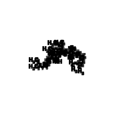 CCCCC(CC)Cc1ccc(-c2ccc(-c3c4c(c(-c5cc6c(s5)-c5sc(-c7c8c(c(-c9ccc(-c%10ccc(CC(CC)CCCC)s%10)s9)c9n[nH]nc79)N=S=N8)cc5[Si]6(CC(CC)CCCC)CC(CC)CCCC)c5n[nH]nc35)N=S=N4)s2)s1